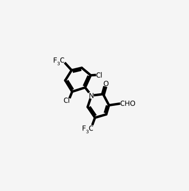 O=Cc1cc(C(F)(F)F)cn(-c2c(Cl)cc(C(F)(F)F)cc2Cl)c1=O